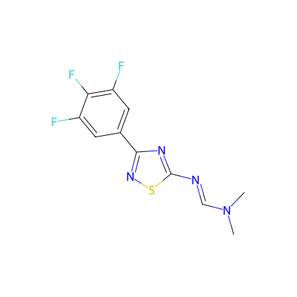 CN(C)C=Nc1nc(-c2cc(F)c(F)c(F)c2)ns1